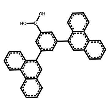 OB(O)c1cc(-c2cc3ccccc3c3ccccc23)cc(-c2cc3ccccc3c3ccccc23)c1